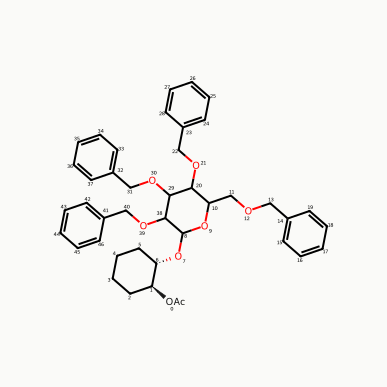 CC(=O)O[C@H]1CCCC[C@@H]1OC1OC(COCc2ccccc2)C(OCc2ccccc2)C(OCc2ccccc2)C1OCc1ccccc1